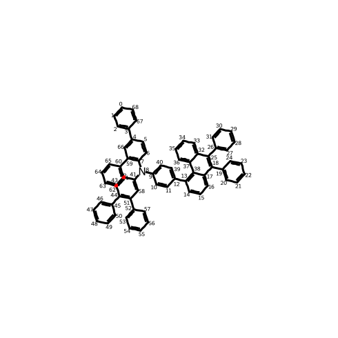 c1ccc(-c2ccc(N(c3ccc(-c4cccc5c(-c6ccccc6)c(-c6ccccc6)c6ccccc6c45)cc3)c3ccc(-c4ccccc4)c(-c4ccccc4)c3)c(-c3ccccc3)c2)cc1